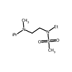 CCN(CCN(C)C(C)C)S(C)(=O)=O